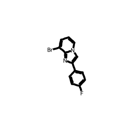 Fc1ccc(-c2cn3cccc(Br)c3n2)cc1